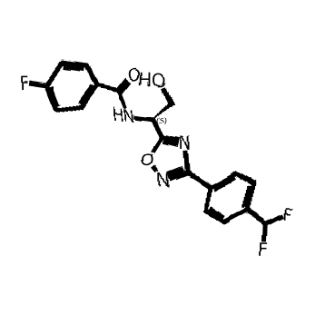 O=C(N[C@@H](CO)c1nc(-c2ccc(C(F)F)cc2)no1)c1ccc(F)cc1